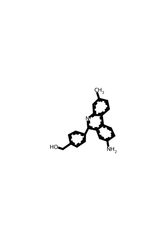 Cc1ccc2c(c1)nc(-c1ccc(CO)cc1)c1cc(N)ccc12